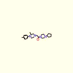 Cc1ccc(N2CCN(CC(=O)N3CCN(C4CCCC4)CC3)CC2C)cc1